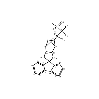 CS(=O)(=O)C(F)(F)C(F)(F)C1CC2CC1C1OC3(OC21)c1ccccc1-c1ccccc13